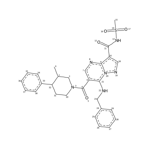 CC1CN(C(=O)c2cnc3c(C(=O)NS(C)(=O)=O)cnn3c2NCc2ccccc2)CCC1c1ccccc1